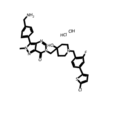 Cl.Cl.Cn1nc2c(=O)n(CC3(O)CCN(Cc4ccc(-c5ccc(Cl)s5)cc4F)CC3)cnc2c1-c1ccc(CN)cc1